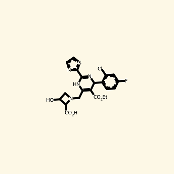 CCOC(=O)C1=C(CN2CC(O)C2C(=O)O)NC(c2nccs2)=NC1c1ccc(F)cc1Cl